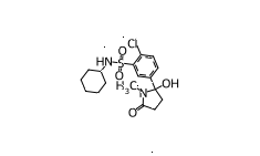 CN1C(=O)CCC1(O)c1ccc(Cl)c(S(=O)(=O)NC2CCCCC2)c1